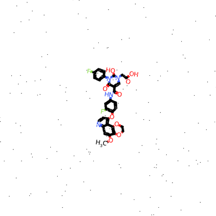 COc1cc2nccc(Oc3ccc(NC(=O)C4=CN(CC(=O)O)C(O)N(c5ccc(F)cc5)C4=O)cc3F)c2c2c1OCCO2